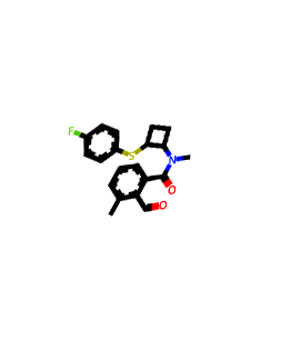 Cc1cccc(C(=O)N(C)C2CCC2Sc2ccc(F)cc2)c1C=O